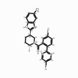 C[C@@H]1CC[C@@H](c2nc3cc(Cl)ccc3o2)CN1C(=O)c1cc(F)ccc1-c1ncc(F)cn1